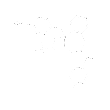 N#Cc1ccc(C[N+]2(OC(=O)C(F)(F)F)C(=O)CN(C(=O)c3ccc(Cl)cc3)Cc3cnccc32)cc1